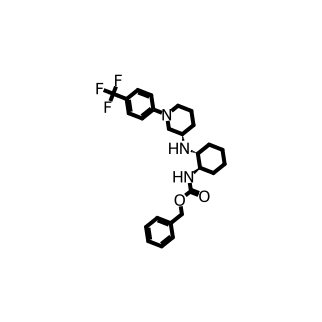 O=C(N[C@@H]1CCCC[C@H]1N[C@H]1CCCN(c2ccc(C(F)(F)F)cc2)C1)OCc1ccccc1